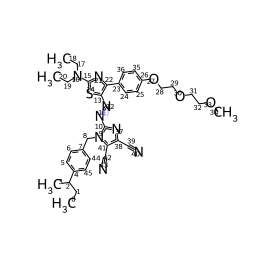 CCC(C)c1ccc(Cn2c(/N=N/c3sc(N(CC)CC)nc3-c3ccc(OCCOCCOC)cc3)nc(C#N)c2C#N)cc1